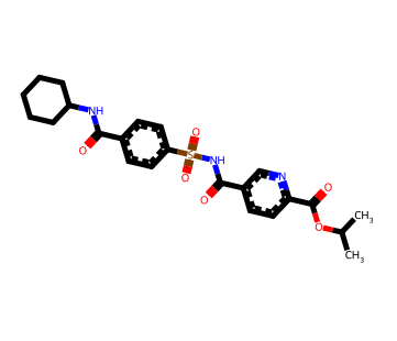 CC(C)OC(=O)c1ccc(C(=O)NS(=O)(=O)c2ccc(C(=O)NC3CCCCC3)cc2)cn1